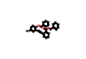 N#Cc1ccc(OCc2ccccc2)c(C#Cc2ccccc2C(=O)OCc2ccccc2)c1